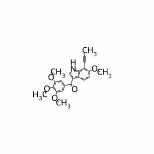 CC#Cc1c(OC)ccc2c(C(=O)c3cc(OC)c(OC)c(OC)c3)c[nH]c12